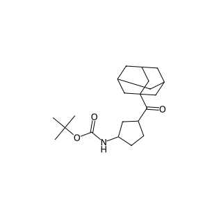 CC(C)(C)OC(=O)NC1CCC(C(=O)C23CC4CC(CC(C4)C2)C3)C1